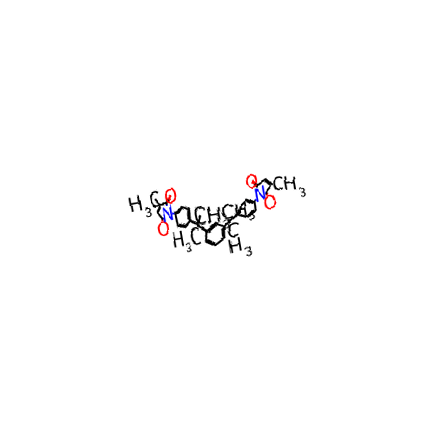 CC1=CC(=O)N(c2ccc(C(C)(C)c3cccc(C(C)(C)c4ccc(N5C(=O)C=C(C)C5=O)cc4)c3)cc2)C1=O